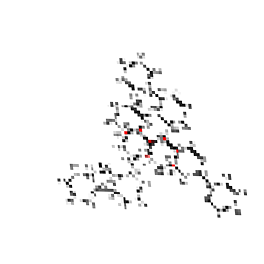 c1ccc(-c2ccc(N(c3cccc(-c4cccc5c4sc4ccccc45)c3)c3cccc(-c4ccccc4)c3-c3ccccc3-c3ccccc3)cc2)cc1